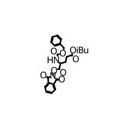 CC(C)COC(=O)CCC(NC(=O)OCc1ccccc1)C(=O)ON1C(=O)c2ccccc2C1=O